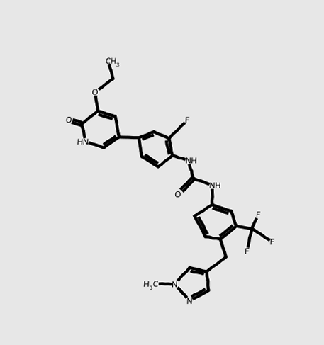 CCOc1cc(-c2ccc(NC(=O)Nc3ccc(Cc4cnn(C)c4)c(C(F)(F)F)c3)c(F)c2)c[nH]c1=O